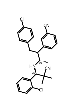 C[C@H](N[C@H](c1ccccc1Cl)C(C)(C)C#N)C(Cc1ccc(Cl)cc1)c1cccc(C#N)c1